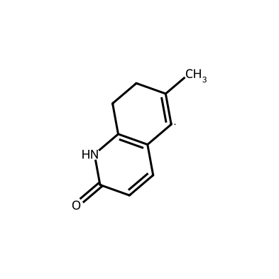 CC1=[C]c2ccc(=O)[nH]c2CC1